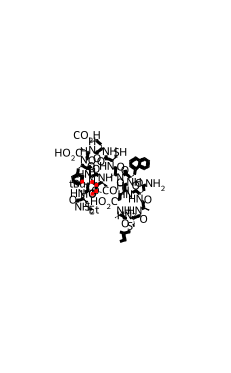 C/C=C(\C)CSC[C@H](NC(=O)[C@H](C)N)C(=O)N[C@H](C)C(=O)N[C@@H](CC(N)=O)C(=O)N[C@@H](CCC(=O)O)C(=O)N[C@@H](Cc1cccc2ccccc12)C(=O)N[C@H](C)C(=O)N[C@H](CS)C(=O)N[C@@H](CCC(=O)O)C(=O)N[C@@H](CC(=O)O)C(=O)N[C@@H](Cc1ccccc1)C(=O)N[C@@H](CC[C@H](C)O)C(=O)N[C@@H](CC(=O)O)C(=O)N[C@H](C(=O)N[C@@H](CSCC)C(N)=O)C(C)(C)C